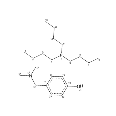 CCCCP(CCCC)CCCC.CN(C)Cc1ccc(O)cc1